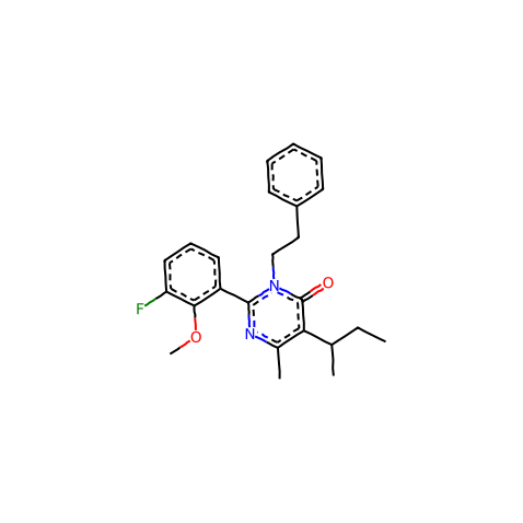 CCC(C)c1c(C)nc(-c2cccc(F)c2OC)n(CCc2ccccc2)c1=O